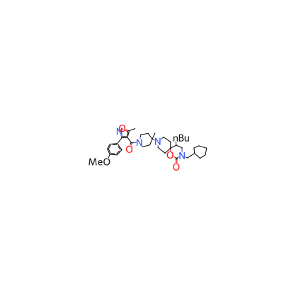 CCCCC1CN(CC2CCCCC2)C(=O)OC12CCN(C1(C)CCN(C(=O)c3c(-c4ccc(OC)cc4)noc3C)CC1)CC2